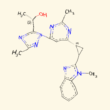 Cc1nc([C@@H]2CC2c2nc3ccccc3n2C)cc(-n2nc(C)nc2[C@H](C)O)n1